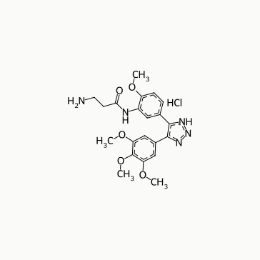 COc1ccc(-c2[nH]nnc2-c2cc(OC)c(OC)c(OC)c2)cc1NC(=O)CCN.Cl